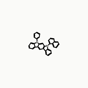 c1ccc(-n2c3ccccc3c3cc4c5ccccc5n(-c5cccc6ccccc56)c4cc32)cc1